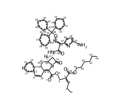 CC/C=C(\COC(=O)C1=C(/C=C\c2cccnc2)CS[C@H]2[C@H](NC(=O)C(=NOC(c3ccccc3)(c3ccccc3)c3ccccc3)c3csc(N)n3)C(=O)N12)C(=O)OCCCCCC